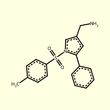 Cc1ccc(S(=O)(=O)n2cc(CN)cc2-c2ccccc2)cc1